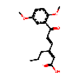 CCCC(/C=C/C(=O)c1cc(OC)ccc1OC)=C\C(=O)O